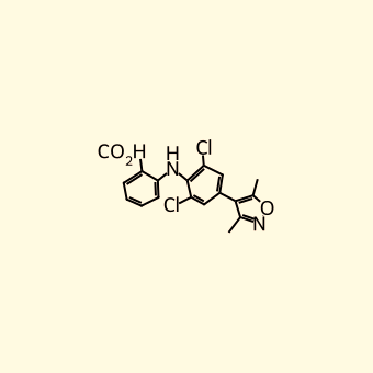 Cc1noc(C)c1-c1cc(Cl)c(Nc2ccccc2C(=O)O)c(Cl)c1